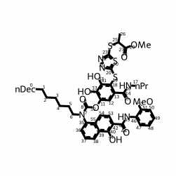 CCCCCCCCCCCCCCCCN(C(=O)Oc1cc(C(=O)NCCC)c(Sc2nnc(SC(C)C(=O)OC)s2)c(O)c1O)c1cccc2c(O)c(C(=O)Nc3ccccc3OC)ccc12